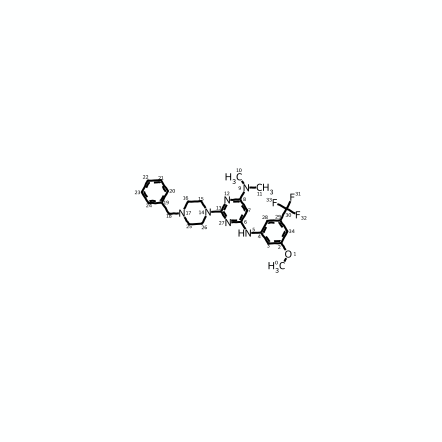 COc1cc(Nc2cc(N(C)C)nc(N3CCN(Cc4ccccc4)CC3)n2)cc(C(F)(F)F)c1